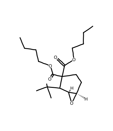 CCCCOC(=O)C1(C(=O)OCCCC)CC[C@H]2O[C@H]2C1C(C)(C)C